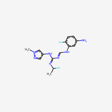 CC(F)/N=C(\N=C\Nc1cc(N)ccc1F)Nc1cnn(C)c1